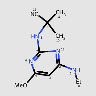 CCNc1cc(OC)nc(NC(C)(C)C#N)n1